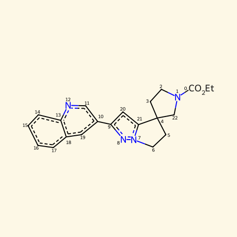 CCOC(=O)N1CCC2(CCn3nc(-c4cnc5ccccc5c4)cc32)C1